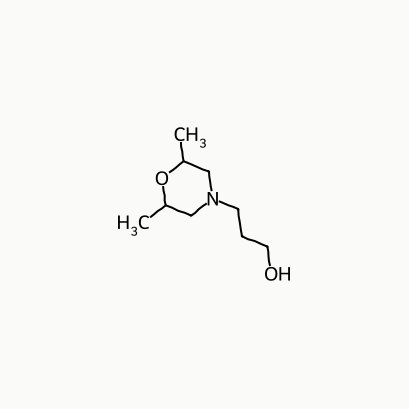 CC1CN(CCCO)CC(C)O1